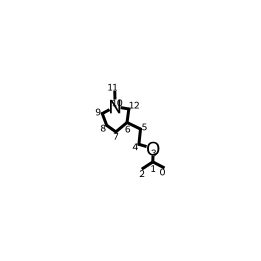 CC(C)OCCC1CCCN(C)C1